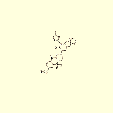 CCOC(=O)c1ccc2c(c1)S(=O)(=O)c1ccc(C(CC3CCC4(C3)OCCO4)C(=O)Nc3ccn(C)n3)cc1N2C